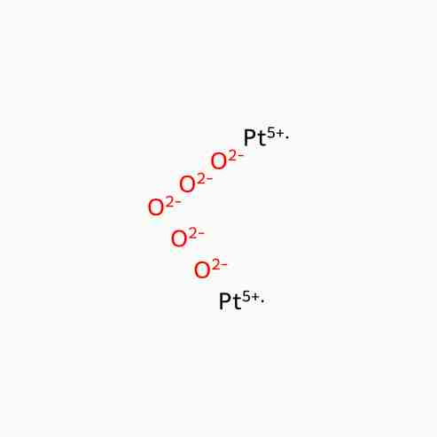 [O-2].[O-2].[O-2].[O-2].[O-2].[Pt+5].[Pt+5]